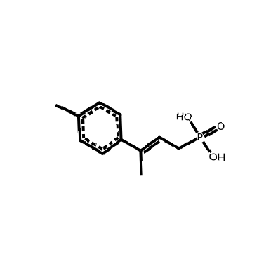 CC(=CCP(=O)(O)O)c1ccc(C)cc1